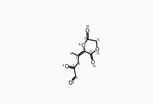 CC(CC(=O)C=O)=C1OC(=O)COC1=O